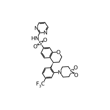 O=S1(=O)CCN(c2cc(C(F)(F)F)ccc2[C@@H]2CCOc3cc(S(=O)(=O)Nc4ncccn4)ccc32)CC1